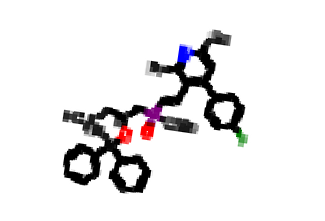 COP(=O)(C=Cc1c(-c2ccc(F)cc2)cc(C(C)(C)C)nc1C(C)C)C[C@H](CC(=O)O)O[Si](c1ccccc1)(c1ccccc1)C(C)(C)C